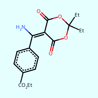 CCOC(=O)c1ccc(C(N)=C2C(=O)OC(CC)(CC)OC2=O)cc1